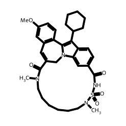 COc1ccc2c(c1)C=C1Cn3c-2c(C2CCCCC2)c2ccc(cc23)C(=O)NS(=O)(=O)N(C)CCCCCCN(C)C1=O